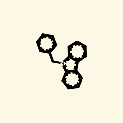 c1ccc(Cn2c3ccccc3c3ccccc32)cc1